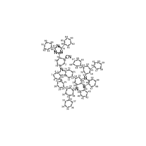 N#Cc1cc(-n2c3ccccc3c3cc(-c4cc5c6c(c4)N(c4cc(-c7ccccc7)cc(-c7ccccc7)c4)c4ccccc4B6c4ccccc4N5c4cc(-c5ccccc5)cc(-c5ccccc5)c4)ccc32)ccc1-c1nc(-c2ccccc2)nc(-c2ccccc2)n1